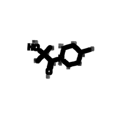 CC1CCN(C(=O)C(C)(C)O)CC1